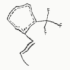 CC=Cc1ccccc1C(F)(F)F